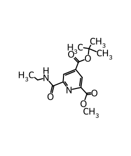 CCNC(=O)c1cc(C(=O)OC(C)(C)C)cc(C(=O)OC)n1